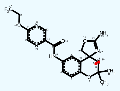 CC1(C)Oc2ccc(NC(=O)c3cnc(OCC(F)(F)F)cn3)cc2C2(COC(N)=N2)C12COC2